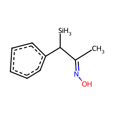 CC(=NO)C([SiH3])c1ccccc1